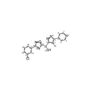 Cn1c(-c2ccncc2)nnc1C(S)c1nc(-c2cccc(Cl)c2)no1